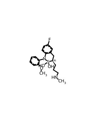 CNCCC[C@@H]1Cc2cc(F)ccc2N(c2ccccc2OC)S1(O)O